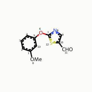 COc1cccc(Oc2ncc(C=O)s2)c1